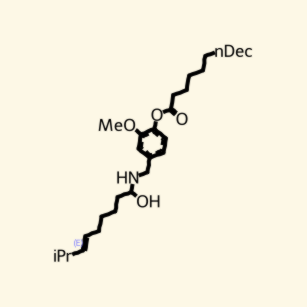 CCCCCCCCCCCCCCCC(=O)Oc1ccc(CNC(O)CCCC/C=C/C(C)C)cc1OC